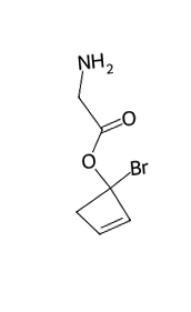 NCC(=O)OC1(Br)C=CC1